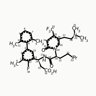 Cc1cc(-c2c(C)cccc2C)cc([C@H](CC(=O)O)NC(=O)[C@H](CCC(C)C)n2cc(CCN(C)C)c(C(F)(F)F)cc2=O)c1F